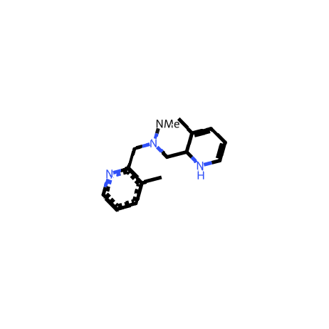 CNN(Cc1ncccc1C)CC1NC=CC=C1C